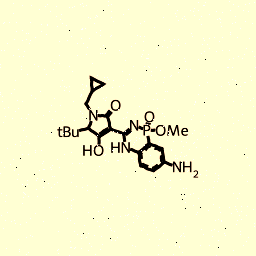 COP1(=O)N=C(C2=C(O)C(C(C)(C)C)N(CC3CC3)C2=O)Nc2ccc(N)cc21